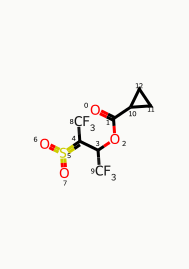 O=C(OC(C(=S(=O)=O)C(F)(F)F)C(F)(F)F)C1CC1